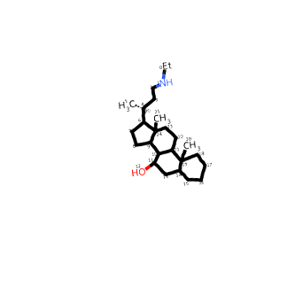 CCNCC[C@@H](C)C1CCC2C3C(O)CC4CCCCC4(C)C3CCC21C